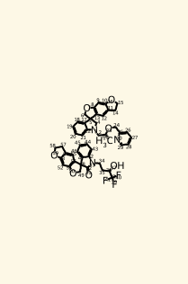 C[C@@H](CN1CC2(COc3cc4c(cc32)CCO4)c2ccccc21)OCc1ccccn1.O=C1N(CCC(O)C(F)(F)F)c2ccccc2C12COc1cc3c(cc12)CCO3